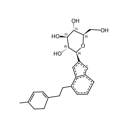 CC1=CC=C(CCc2cccc3sc([C@@H]4O[C@H](CO)[C@@H](O)[C@H](O)[C@H]4O)cc23)CC1